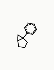 [c]1ncccc1C12CCCC1C2